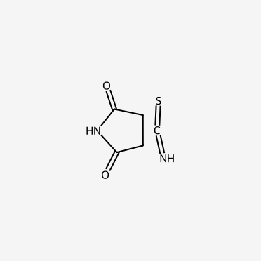 N=C=S.O=C1CCC(=O)N1